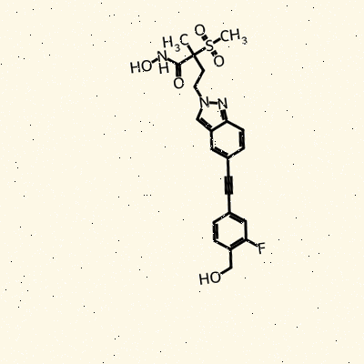 CC(CCn1cc2cc(C#Cc3ccc(CO)c(F)c3)ccc2n1)(C(=O)NO)S(C)(=O)=O